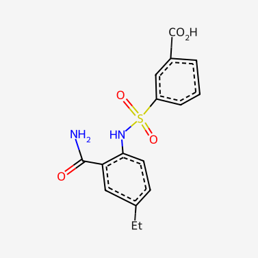 CCc1ccc(NS(=O)(=O)c2cccc(C(=O)O)c2)c(C(N)=O)c1